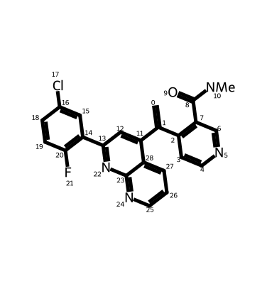 C=C(c1ccncc1C(=O)NC)c1cc(-c2cc(Cl)ccc2F)nc2ncccc12